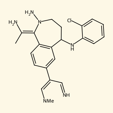 CN/C=C(\C=N)c1ccc2c(c1)C(Nc1ccccc1Cl)CCN(N)/C2=C(/C)N